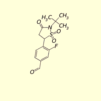 CC(C)(C)N1C(=O)CC(c2ccc(C=O)cc2F)S1(=O)=O